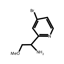 COCC(N)c1cc(Br)ccn1